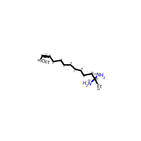 CCCCCCCC/C=C\CCCCCCCCC(N)(N)CC